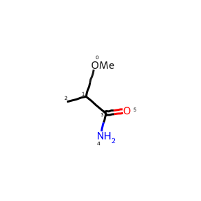 COC(C)C(N)=O